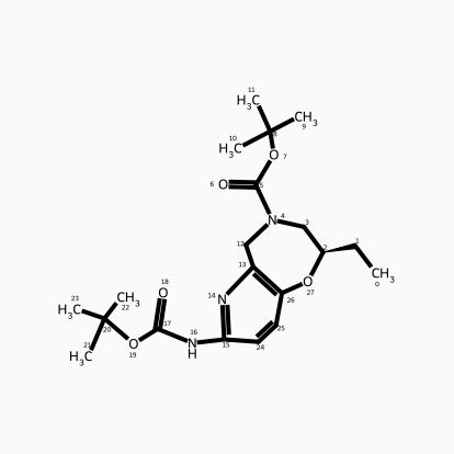 CC[C@@H]1CN(C(=O)OC(C)(C)C)Cc2nc(NC(=O)OC(C)(C)C)ccc2O1